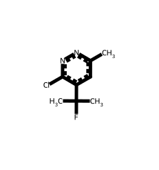 Cc1cc(C(C)(C)F)c(Cl)nn1